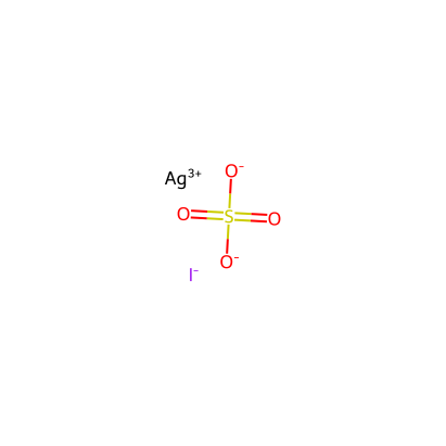 O=S(=O)([O-])[O-].[Ag+3].[I-]